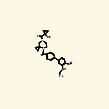 CCNc1cc(-c2ccc(C(=O)N3CCN(C(=O)C4(O)CC4)CC34CC4)cc2)ccc1N=O